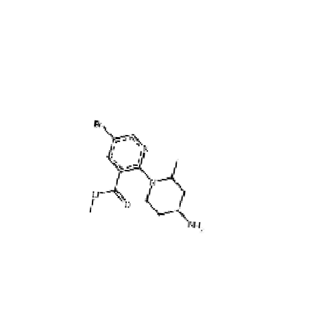 COC(=O)c1cc(Br)cnc1N1CCC(N)CC1C